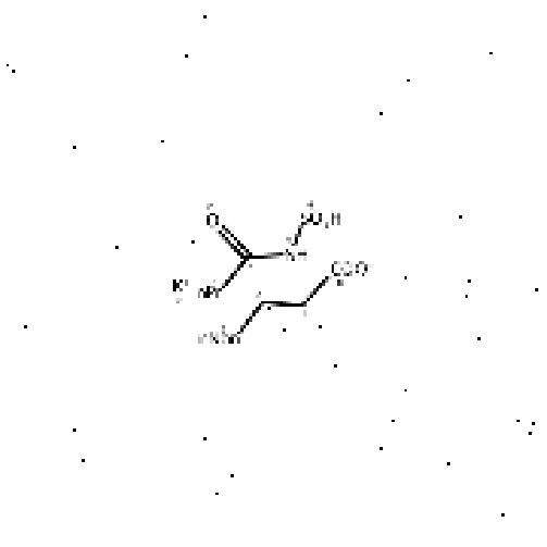 CCCC(=O)NS(=O)(=O)O.CCCCCCCCCCCC(=O)[O-].[K+]